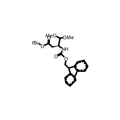 COC(OC)[C@H](CC(=O)OC(C)(C)C)NC(=O)OCC1c2ccccc2-c2ccccc21